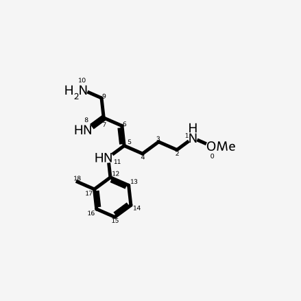 CONCCC/C(=C/C(=N)CN)Nc1ccccc1C